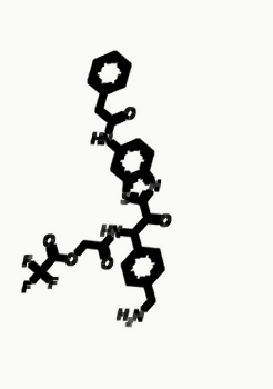 NCc1ccc(C(NC(=O)COC(=O)C(F)(F)F)C(=O)c2nc3ccc(NC(=O)Cc4ccccc4)cc3s2)cc1